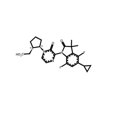 CC1(C)C(=O)N(c2nccn([C@@H]3CCC[C@@H]3CC(=O)O)c2=O)c2c(F)cc(C3CC3)c(F)c21